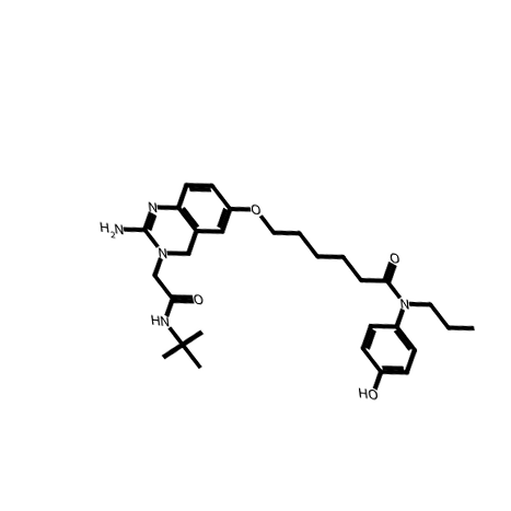 CCCN(C(=O)CCCCCOc1ccc2c(c1)CN(CC(=O)NC(C)(C)C)C(N)=N2)c1ccc(O)cc1